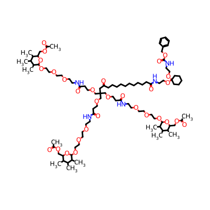 CC(=O)OCC1OC(OCCOCCOCCNC(=O)CCOCC(COCCC(=O)NCCOCCOCCOC2OC(COC(C)=O)C(C)C(C)C2C)(COCCC(=O)NCCOCCOCCOC2OC(COC(C)=O)C(C)C(C)C2C)CC(=O)CCCCCCCCCCC(=O)NCCOC2(OCCNC(=O)OCc3ccccc3)CCCCC2)C(C)C(C)C1C